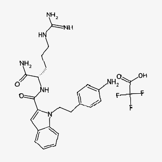 N=C(N)NCCC[C@H](NC(=O)c1cc2ccccc2n1CCc1ccc(N)cc1)C(N)=O.O=C(O)C(F)(F)F